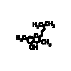 CC(C)=CCCC1=C(C)Cc2c(O)cc(C)cc2O1